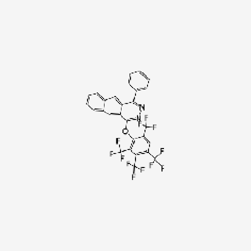 FC(F)(F)c1cc(C(F)(F)F)c(C(F)(F)F)c(C(F)(F)F)c1Oc1nnc(-c2ccccc2)c2cc3ccccc3cc12